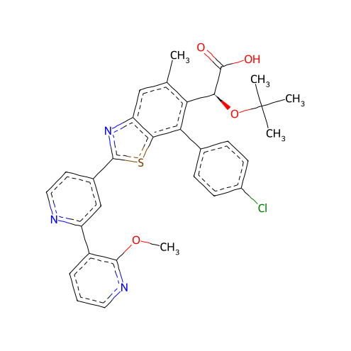 COc1ncccc1-c1cc(-c2nc3cc(C)c([C@H](OC(C)(C)C)C(=O)O)c(-c4ccc(Cl)cc4)c3s2)ccn1